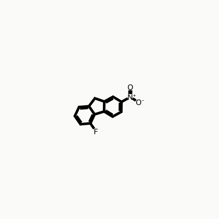 O=[N+]([O-])c1ccc2c(c1)Cc1cccc(F)c1-2